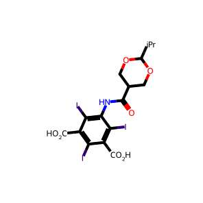 CC(C)C1OCC(C(=O)Nc2c(I)c(C(=O)O)c(I)c(C(=O)O)c2I)CO1